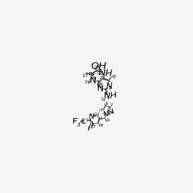 Cc1nc(NCc2cnn(Cc3cnc(C(F)(F)F)c(F)c3)c2)nc2c1NC(O)[C@H](C)N2C